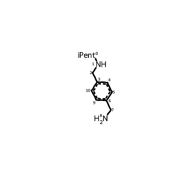 CCCC(C)NCc1ccc(CN)cc1